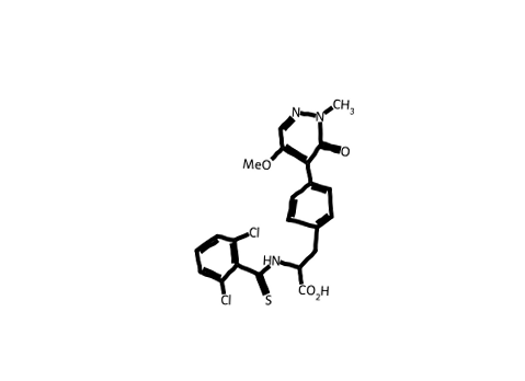 COc1cnn(C)c(=O)c1-c1ccc(CC(NC(=S)c2c(Cl)cccc2Cl)C(=O)O)cc1